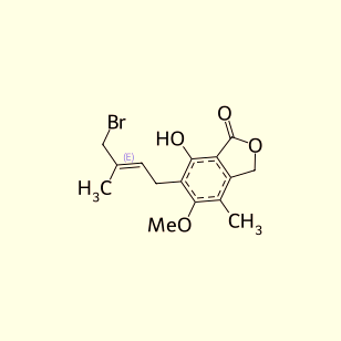 COc1c(C)c2c(c(O)c1C/C=C(\C)CBr)C(=O)OC2